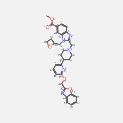 COC(=O)c1ccc2nc(CN3CCC(c4cccc(OCc5nc6ccccc6o5)n4)CC3)n(CC3CCO3)c2c1